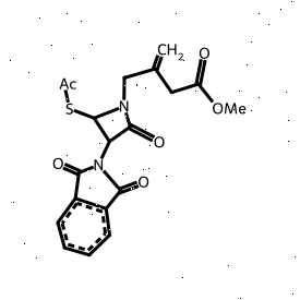 C=C(CC(=O)OC)CN1C(=O)C(N2C(=O)c3ccccc3C2=O)C1SC(C)=O